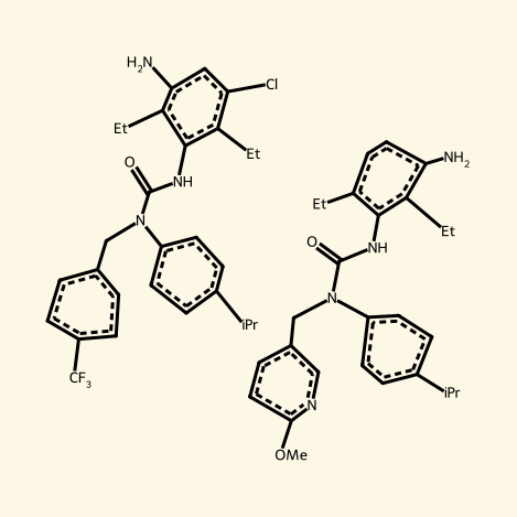 CCc1c(N)cc(Cl)c(CC)c1NC(=O)N(Cc1ccc(C(F)(F)F)cc1)c1ccc(C(C)C)cc1.CCc1ccc(N)c(CC)c1NC(=O)N(Cc1ccc(OC)nc1)c1ccc(C(C)C)cc1